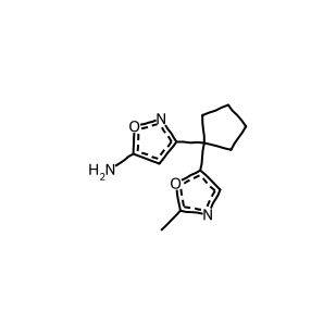 Cc1ncc(C2(c3cc(N)on3)CCCC2)o1